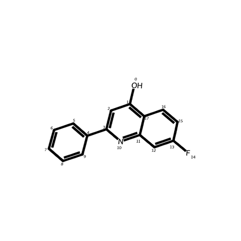 Oc1cc(-c2ccccc2)nc2cc(F)ccc12